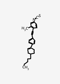 CCCCCC1CC=C(c2ccc(C#Cc3ccc(N=C=S)cc3C)cc2)CC1